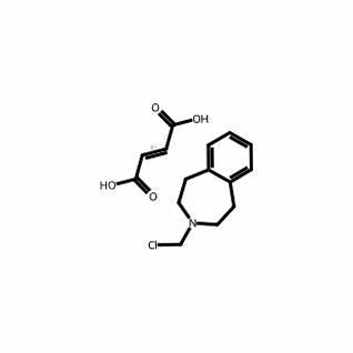 ClCN1CCc2ccccc2CC1.O=C(O)/C=C/C(=O)O